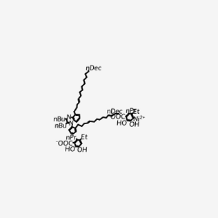 CCCCCCCCCCCCCCCCCCCC=CCCCc1ccccc1N=C(CCCC)C(CCCC)=Nc1ccccc1CCCC=CCCCCCCCCCCCCCCCCCCC.CCCc1c(CC)cc(O)c(O)c1C(=O)[O-].CCCc1c(CC)cc(O)c(O)c1C(=O)[O-].[Ni+2]